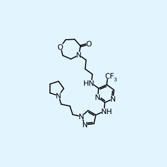 O=C1CCOCCN1CCCNc1nc(Nc2cnn(CCCN3CCCC3)c2)ncc1C(F)(F)F